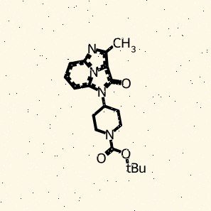 Cc1nc2cccc3n(C4CCN(C(=O)OC(C)(C)C)CC4)c(=O)c1n23